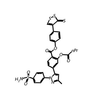 CCCC(=O)Oc1cc(-c2cc(C)nn2-c2ccc(S(N)(=O)=O)cc2)ccc1C(=O)Oc1ccc(-c2cssc2=S)cc1